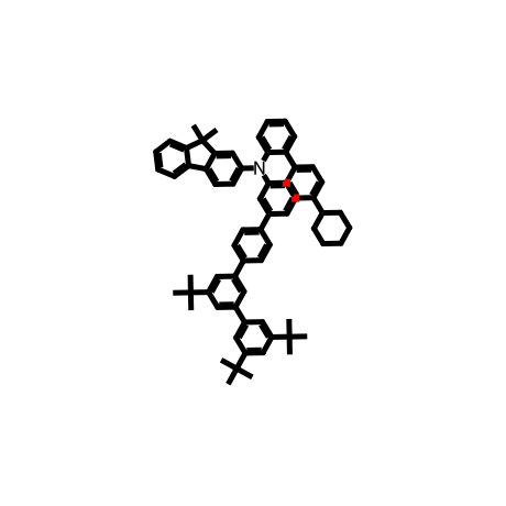 CC(C)(C)c1cc(-c2ccc(-c3cccc(N(c4ccc5c(c4)C(C)(C)c4ccccc4-5)c4ccccc4-c4ccc(C5CCCCC5)cc4)c3)cc2)cc(-c2cc(C(C)(C)C)cc(C(C)(C)C)c2)c1